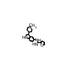 CN1CCC(C2CNc3ccc(NC(=N)c4ccco4)cc32)CC1